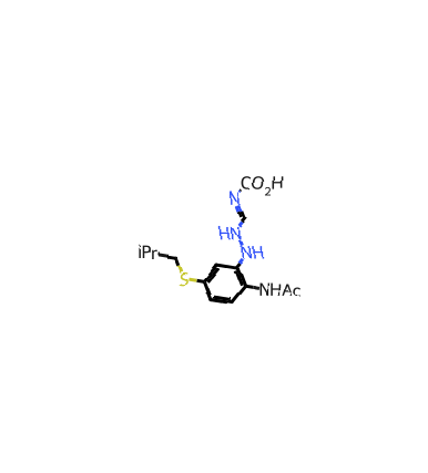 CC(=O)Nc1ccc(SCC(C)C)cc1NNC=NC(=O)O